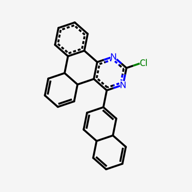 Clc1nc(C2=CC3C=CC=CC3C=C2)c2c(n1)-c1ccccc1C1C=CC=CC21